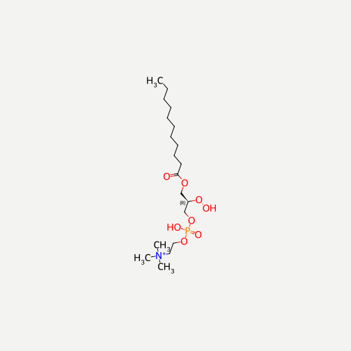 CCCCCCCCCCC(=O)OC[C@H](COP(=O)(O)OCC[N+](C)(C)C)OO